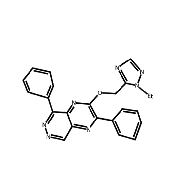 CCn1ncnc1COc1nc2c(-c3ccccc3)nncc2nc1-c1ccccc1